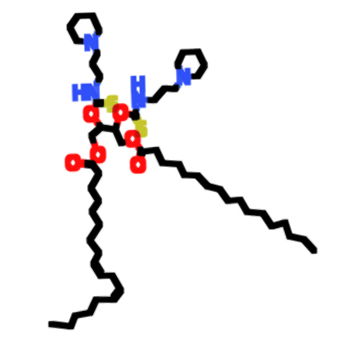 CCCCC/C=C\C/C=C\CCCCCCCC(=O)OCC(OC(=S)NCCCN1CCCCC1)C(COC(=O)CCCCCCCCCCCCCCCC)OC(=S)NCCCN1CCCCC1